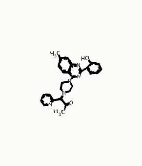 CC(=O)C(c1ccccn1)N1CCN(c2nc(-c3ccccc3O)nc3cc(C)ccc23)CC1